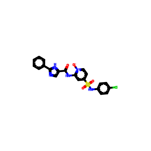 O=C(Nc1cc(S(=O)(=O)Nc2ccc(Cl)cc2)cc[n+]1[O-])c1cnc(-c2ccccc2)[nH]1